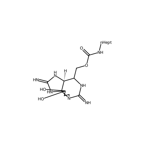 CCCCCCCNC(=O)OCC1NC(=N)N2CCC(O)(O)C23NC(=N)N[C@@H]13